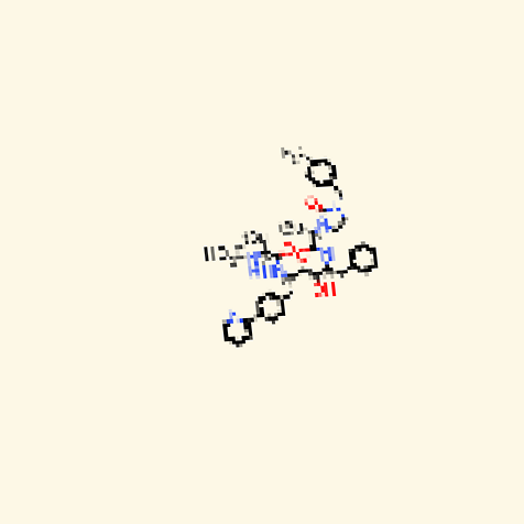 CC(C)(C)[C@H](NC(=O)O)C(=O)N[C@@H](Cc1ccc(-c2ccccn2)cc1)C[C@H](O)[C@H](Cc1ccccc1)NC(=O)[C@@H](N1CCN(Cc2ccc(C(F)(F)F)cc2)C1=O)C(C)(C)C